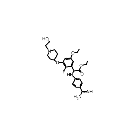 CCOC(=O)C(Nc1ccc(C(=N)N)cc1)c1cc(OCC)cc(OC2CCN(CCO)CC2)c1F